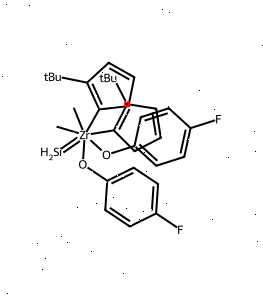 CC(C)(C)C1=[C]([Zr]([CH3])([CH3])(=[SiH2])([O]c2ccc(F)cc2)([O]c2ccc(F)cc2)[C]2=C(C(C)(C)C)C=CC2)CC=C1